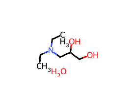 CCN(CC)CC(O)CO.O